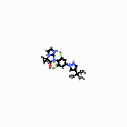 CC(C)(C)c1cnn(-c2cc(F)c(N3C(=O)C4(CC4)n4ccnc43)c(F)c2)c1